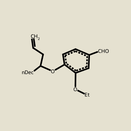 C=CCC(CCCCCCCCCC)Oc1ccc(C=O)cc1OCC